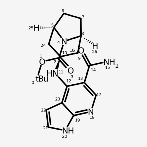 CC(C)(C)OC(=O)N1[C@@H]2CC[C@H]1C[C@@H](Nc1c(C(N)=O)cnc3[nH]ccc13)C2